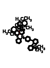 CC1(C)CCC(C)(C)c2cc(-c3ccccc3N(c3ccc(-c4cccc5c4-c4ccccc4[Si]5(C)C)cc3)c3ccc(-c4cccc5c4C(C)(C)CCC5(C)C)cc3)ccc21